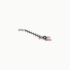 CCCCCC=CCC=CCCCCCCCCCC(=O)NCc1ccc(O)c(OC)c1